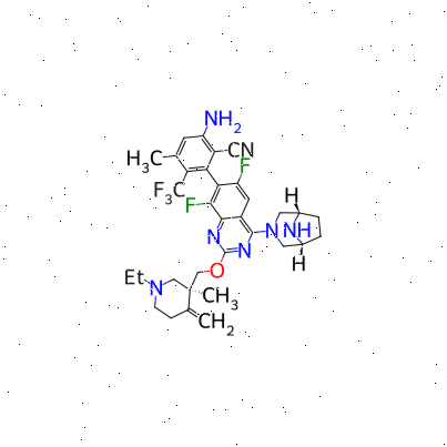 C=C1CCN(CC)C[C@@]1(C)COc1nc(N2C[C@H]3CC[C@@H](C2)N3)c2cc(F)c(-c3c(C#N)c(N)cc(C)c3C(F)(F)F)c(F)c2n1